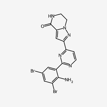 Nc1c(Br)cc(Br)cc1-c1nccc(-c2cc3n(n2)CCNC3=O)n1